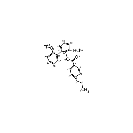 CCCc1ccc(C(=O)Oc2ccccc2-c2ccccc2[O][Ti])cc1.Cl